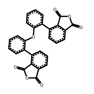 O=C1OC(=O)c2c1cccc2-c1ccccc1Oc1ccccc1-c1cccc2c1C(=O)OC2=O